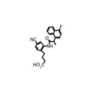 CC(C(=O)Nc1cc(C#N)ccc1CCCC(=O)O)c1ccc(F)c2ccccc12